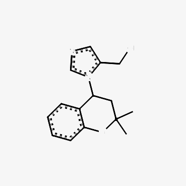 CC1(C)CC(n2cncc2CO)c2ccccc2O1